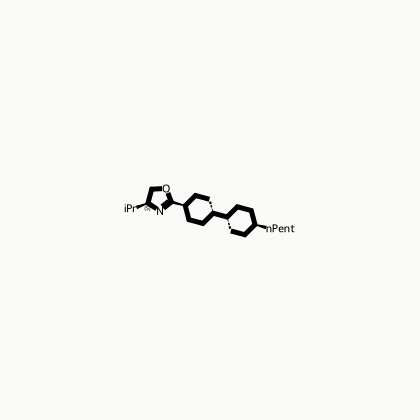 CCCCC[C@H]1CC[C@H]([C@H]2CC[C@H](C3=N[C@@H](C(C)C)CO3)CC2)CC1